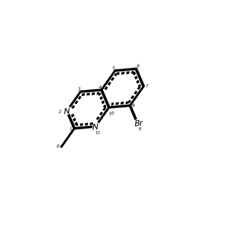 Cc1ncc2cccc(Br)c2n1